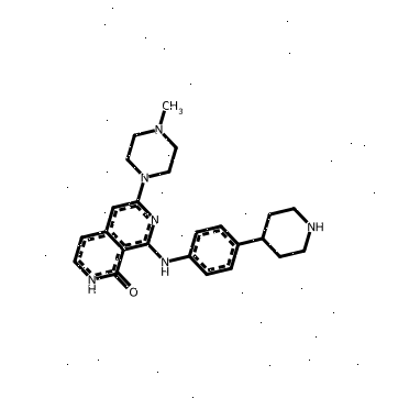 CN1CCN(c2cc3cc[nH]c(=O)c3c(Nc3ccc(C4CCNCC4)cc3)n2)CC1